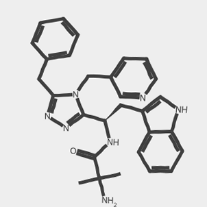 CC(C)(N)C(=O)N[C@H](Cc1c[nH]c2ccccc12)c1nnc(Cc2ccccc2)n1Cc1cccnc1